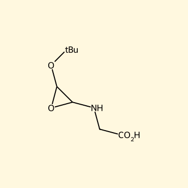 CC(C)(C)OC1OC1NCC(=O)O